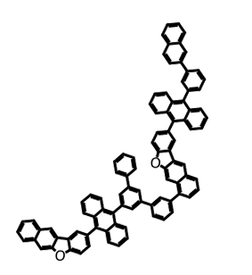 c1ccc(-c2cc(-c3cccc(-c4cccc5cc6c(cc45)oc4ccc(-c5c7ccccc7c(-c7cccc(-c8ccc9ccccc9c8)c7)c7ccccc57)cc46)c3)cc(-c3c4ccccc4c(-c4ccc5oc6cc7ccccc7cc6c5c4)c4ccccc34)c2)cc1